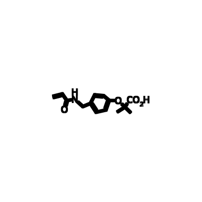 C=CC(=O)NCc1ccc(OC(C)(C)C(=O)O)cc1